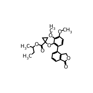 CCC(C)OC(=O)C1(Oc2c(-c3cccc4c3COC4=O)ccc(OC)c2OC)CC1